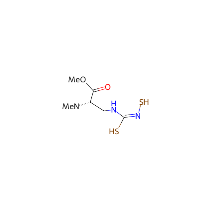 CN[C@@H](CN/C(S)=N\S)C(=O)OC